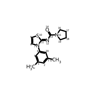 Cc1cc(C)cc(-n2ccsc2=NC(=O)N2CCCC2)c1